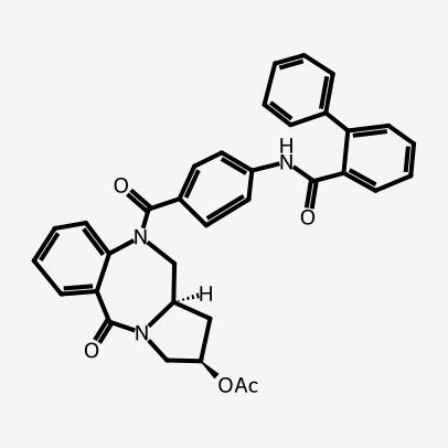 CC(=O)O[C@@H]1C[C@@H]2CN(C(=O)c3ccc(NC(=O)c4ccccc4-c4ccccc4)cc3)c3ccccc3C(=O)N2C1